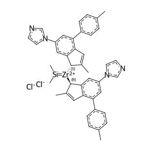 CC1=Cc2c(-c3ccc(C)cc3)cc(-n3ccnc3)cc2[C@@H]1[Zr+2]([C@H]1C(C)=Cc2c(-c3ccc(C)cc3)cc(-n3ccnc3)cc21)=[Si](C)C.[Cl-].[Cl-]